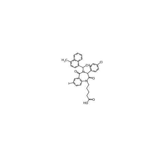 Cc1ccc(C(C)N2C(=O)c3cc(I)ccc3N(CCCCC(=O)O)C(=O)C2c2ccc(Cl)cc2)c2ccccc12